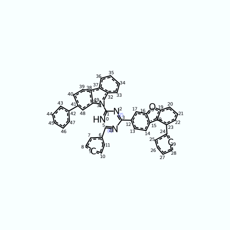 N=C(/N=C(\N=C\c1ccccc1)c1ccc2c(c1)oc1cccc(-c3ccccc3)c12)n1c2ccccc2c2ccc(-c3ccccc3)cc21